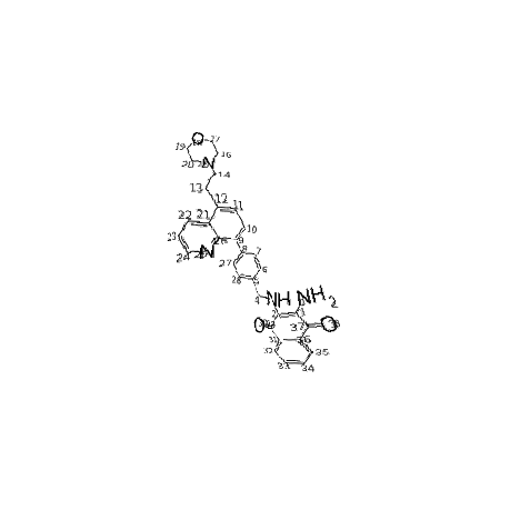 NC1=C(NCc2ccc(-c3ccc(CCN4CCOCC4)c4cccnc34)cc2)C(=O)c2ccccc2C1=O